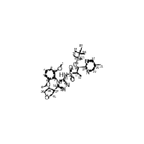 COc1cccc(OC)c1-n1c(NS(=O)(=O)C(C)C(O[Si](C)(C)C(C)(C)C)c2ncc(C)cn2)nnc1[C@@H]1CCOC1